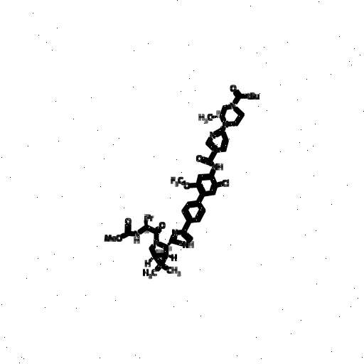 COC(=O)N[C@H](C(=O)N1C[C@H]2[C@@H]([C@H]1c1nc(-c3ccc(-c4cc(Cl)c(NC(=O)c5ccc(N6CCN(C(=O)C(C)(C)C)C[C@H]6C)nc5)cc4OC(F)(F)F)cc3)c[nH]1)C2(C)C)C(C)C